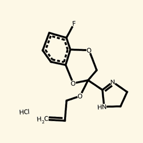 C=CCOC1(C2=NCCN2)COc2c(F)cccc2O1.Cl